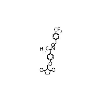 C/C(=N\OCc1ccc(C(F)(F)F)cc1)c1ccc(OCC2C(=O)CCC2=O)cc1